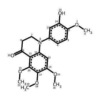 COc1ccc(N2CCC(=O)c3c2cc(OC)c(OC)c3OC)cc1O